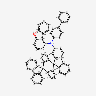 c1ccc(-c2ccc(N(c3ccc4c(c3)C3(c5ccccc5-4)c4ccccc4C(c4ccccc4)(c4ccccc4)c4ccccc43)c3cccc4oc5ccccc5c34)cc2)cc1